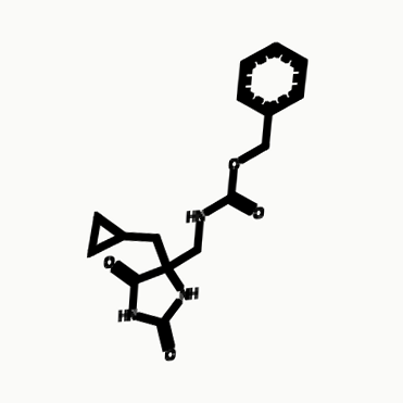 O=C1NC(=O)C(CNC(=O)OCc2ccccc2)(CC2CC2)N1